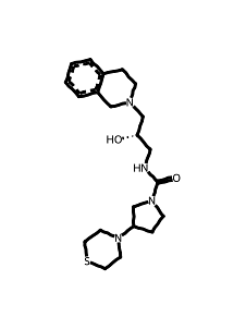 O=C(NC[C@H](O)CN1CCc2ccccc2C1)N1CCC(N2CCSCC2)C1